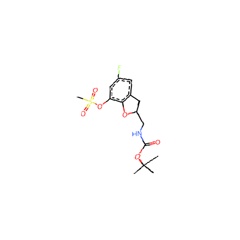 CC(C)(C)OC(=O)NCC1Cc2cc(F)cc(OS(C)(=O)=O)c2O1